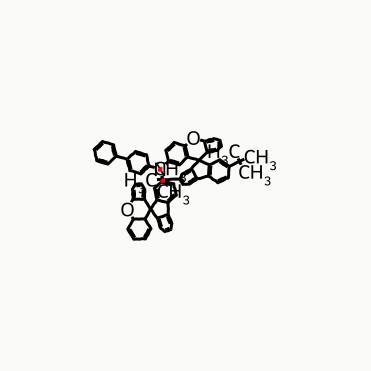 CC(C)(C)c1ccc2c(c1)C1(c3ccccc3Oc3ccc(N(c4ccc(-c5ccccc5)cc4)c4ccc5c(c4)C4(c6ccccc6OC6C=CC=CC64)c4ccccc4-5)cc31)c1cc(C(C)(C)C)ccc1-2